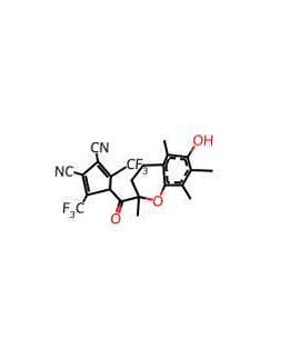 Cc1c(C)c2c(c(C)c1O)CCC(C)(C(=O)C1C(C(F)(F)F)=C(C#N)C(C#N)=C1C(F)(F)F)O2